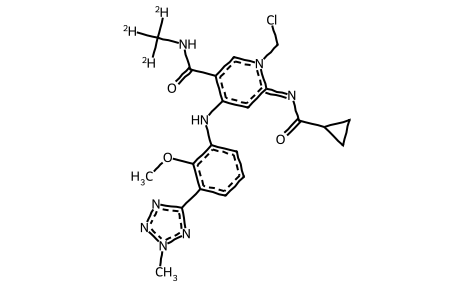 [2H]C([2H])([2H])NC(=O)c1cn(CCl)c(=NC(=O)C2CC2)cc1Nc1cccc(-c2nnn(C)n2)c1OC